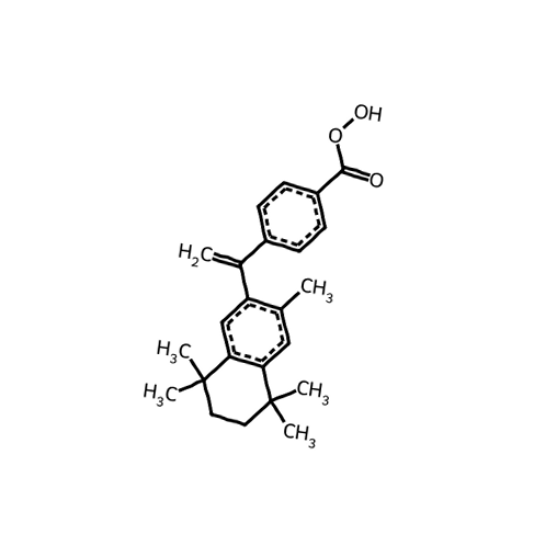 C=C(c1ccc(C(=O)OO)cc1)c1cc2c(cc1C)C(C)(C)CCC2(C)C